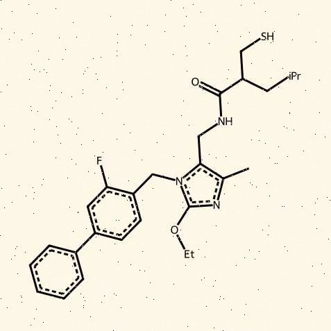 CCOc1nc(C)c(CNC(=O)C(CS)CC(C)C)n1Cc1ccc(-c2ccccc2)cc1F